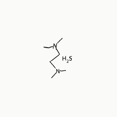 CN(C)CCN(C)C.S